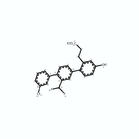 CCOC(=O)CCc1cc(O)ccc1-c1ccc(-c2cccc(C(F)(F)F)c2)c(C(F)F)c1